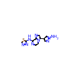 Nn1cc(-c2cnc3c(Nc4nncs4)nccn23)cn1